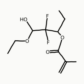 C=C(C)C(=O)OC(CC)C(F)(F)C(O)OCC